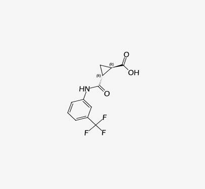 O=C(O)[C@@H]1C[C@H]1C(=O)Nc1cccc(C(F)(F)F)c1